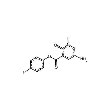 Cn1cc(N)cc(C(=O)Oc2ccc(F)cc2)c1=O